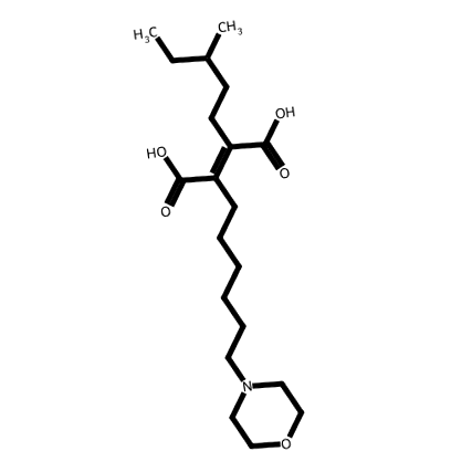 CCC(C)CCC(C(=O)O)=C(CCCCCCN1CCOCC1)C(=O)O